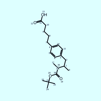 CC(Cc1ccc(CCCCC(=O)O)cc1)N(C)C(=O)OC(C)(C)C